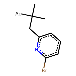 CC(=O)C(C)(C)Cc1cccc(Br)n1